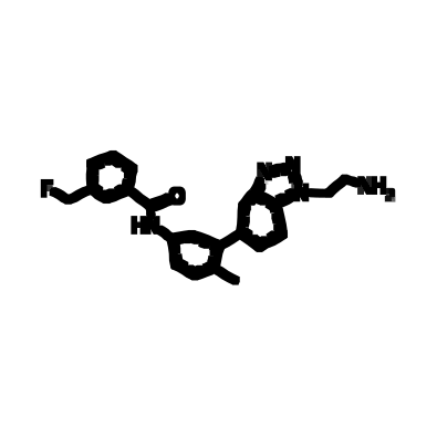 Cc1ccc(NC(=O)c2cccc(CF)c2)cc1-c1ccc2c(c1)nnn2CCN